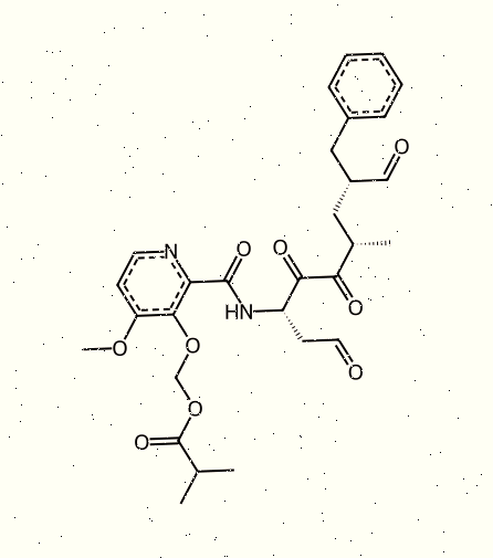 COc1ccnc(C(=O)N[C@@H](CC=O)C(=O)C(=O)[C@@H](C)C[C@@H](C=O)Cc2ccccc2)c1OCOC(=O)C(C)C